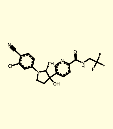 C[C@@H]1N(c2ccc(C#N)c(Cl)c2)CCC1(O)c1ccc(C(=O)NCC(F)(F)F)nc1